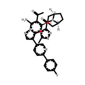 CC(=O)c1c([C@H]2C[C@H]3CC[C@@H](C2)N3C(=O)c2nnc(C)[nH]2)nc2c(-c3ccc(-c4ccc(F)cc4)nc3)cnn2c1N